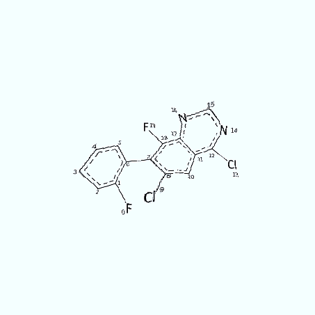 Fc1ccccc1-c1c(Cl)cc2c(Cl)ncnc2c1F